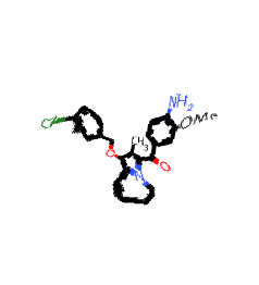 COc1cc(C(=O)c2c(C)c(OCc3ccc(Cl)cc3)c3ccccn23)ccc1N